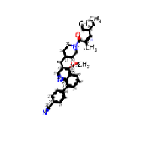 CCC(/C=C(/C)C(=O)N1CCC(Cc2cnc3c(-c4ccc(C#N)cc4)cccc3c2OC)CC1)CC